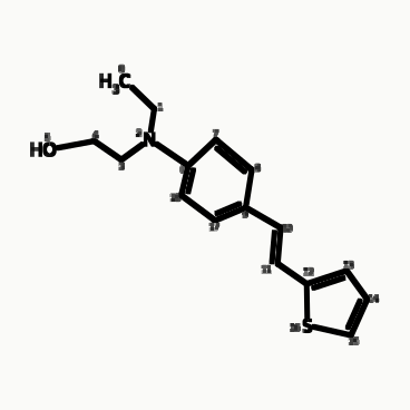 CCN(CCO)c1ccc(C=Cc2cccs2)cc1